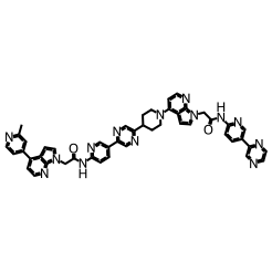 Cc1cc(-c2ccnc3c2ccn3CC(=O)Nc2ccc(-c3cnc(C4CCN(c5ccnc6c5ccn6CC(=O)Nc5ccc(-c6cnccn6)cn5)CC4)cn3)cn2)ccn1